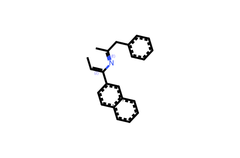 C/C=C(\N=C(/C)Cc1ccccc1)c1ccc2ccccc2c1